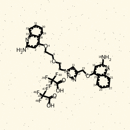 Nc1cc(OCCOCCn2cc(COc3cc(N)nc4ccccc34)nn2)c2ccccc2n1.O=C(O)C(F)(F)F.O=C(O)C(F)(F)F